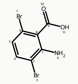 Nc1c(Br)ccc(Br)c1C(=O)O